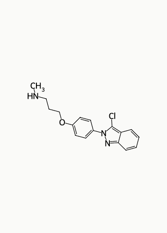 CNCCCOc1ccc(-n2nc3ccccc3c2Cl)cc1